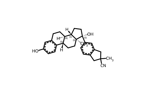 CC1(C#N)Cc2ccc([C@]3(O)CC[C@H]4[C@@H]5CCc6cc(O)ccc6[C@H]5CC[C@@]43C)cc2C1